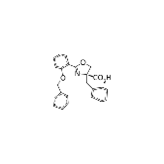 O=C(O)[C@]1(Cc2ccccc2)COC(c2ccccc2OCc2ccccc2)=N1